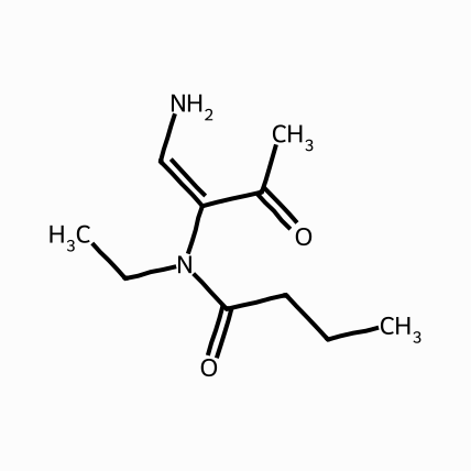 CCCC(=O)N(CC)C(=CN)C(C)=O